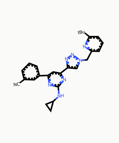 CC(C)(C)c1cccc(Cn2cc(-c3cc(-c4cccc(C#N)c4)nc(NC4CC4)n3)nn2)n1